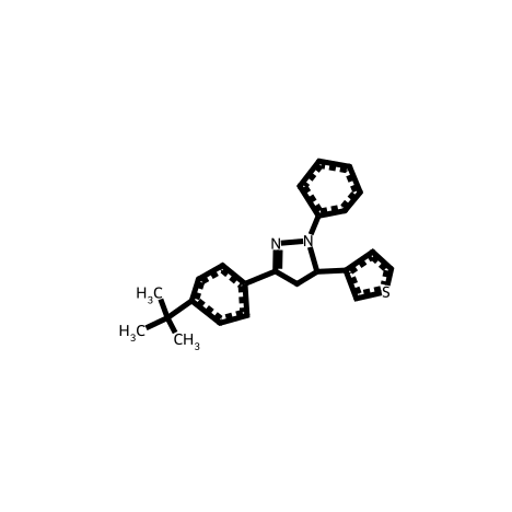 CC(C)(C)c1ccc(C2=NN(c3ccccc3)C(c3ccsc3)C2)cc1